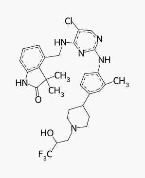 Cc1cc(C2CCN(CC(O)C(F)(F)F)CC2)ccc1Nc1ncc(Cl)c(NCc2cccc3c2C(C)(C)C(=O)N3)n1